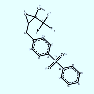 CC1(C(F)(F)F)OC1Cc1ccc(S(=O)(=O)c2ccccc2)cc1